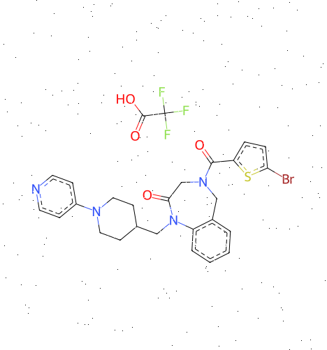 O=C(O)C(F)(F)F.O=C(c1ccc(Br)s1)N1CC(=O)N(CC2CCN(c3ccncc3)CC2)c2ccccc2C1